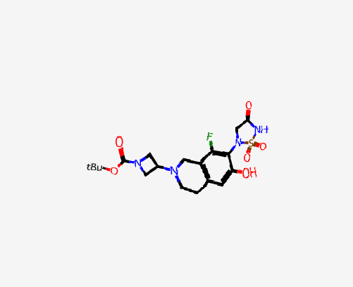 CC(C)(C)OC(=O)N1CC(N2CCc3cc(O)c(N4CC(=O)NS4(=O)=O)c(F)c3C2)C1